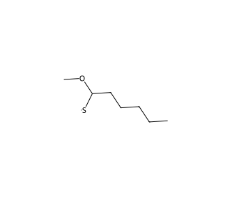 CCCCCC([S])OC